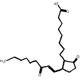 CCCCCCC(=O)C=CC1CCC(=O)C1CCCCCCCC(=O)O